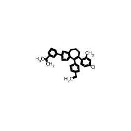 C=Cc1ccc(C2=C(c3ccc(Cl)cc3C)CCCc3cc(-c4cccc(C(=C)C)c4)ccc32)cc1